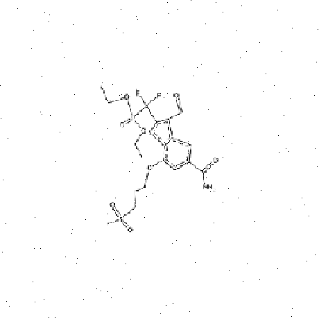 CCOP(=O)(OCC)C(F)(F)c1sc2c(OCCCS(C)(=O)=O)cc(C(N)=O)cc2c1C=O